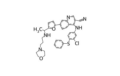 CC(NCCCN1CCOCC1)c1ccc(-c2ccc3c(Nc4ccc(Sc5ccccc5)c(Cl)c4)c(C#N)cnc3c2)o1